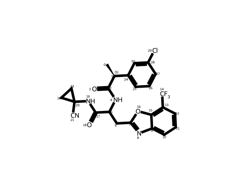 C[C@H](C(=O)NC(Cc1nc2cccc(C(F)(F)F)c2o1)C(=O)NC1(C#N)CC1)c1cccc(Cl)c1